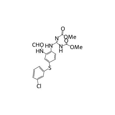 COC(=O)/N=C(\NC(=O)OC)Nc1ccc(Sc2cccc(Cl)c2)cc1NC=O